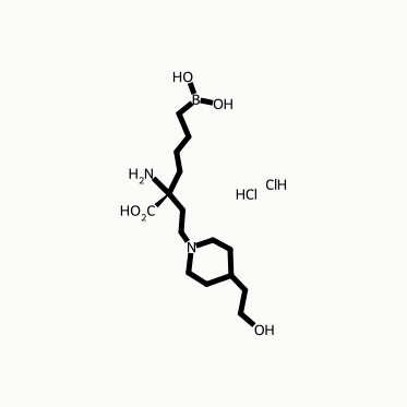 Cl.Cl.N[C@](CCCCB(O)O)(CCN1CCC(CCO)CC1)C(=O)O